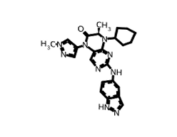 C[C@@H]1C(=O)N(c2cnn(C)c2)c2cnc(Nc3ccc4[nH]ncc4c3)nc2N1C1CCCCC1